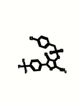 NC1=C(OS(=O)(=O)Cc2ccc(Cl)cc2)C(=O)C(c2ccc(C(F)(F)F)cc2)O1